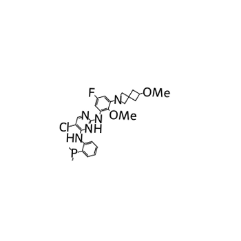 COc1c(Nc2ncc(Cl)c(Nc3ccccc3P(C)C)n2)cc(F)cc1N1CC2(CC(OC)C2)C1